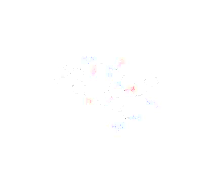 CC(C)(C)c1ccc(Oc2cccc(CN(C(=O)c3cccc(C(=N)N)c3)C(Cc3ccc(N)c4ccccc34)C(=O)NCC(N)=O)c2)cc1